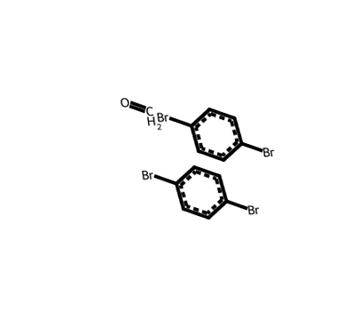 Brc1ccc(Br)cc1.Brc1ccc(Br)cc1.C=O